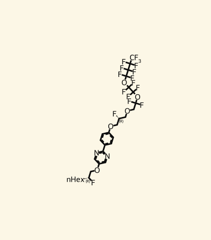 CCCCCC[C@@H](F)COc1cnc(-c2ccc(OC[C@H](F)COCC(F)(F)OC(F)(F)C(F)(F)OC(F)(F)C(F)(F)C(F)(F)C(F)(F)F)cc2)nc1